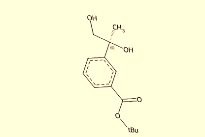 CC(C)(C)OC(=O)c1cccc([C@](C)(O)CO)c1